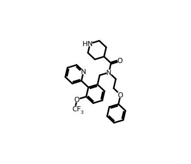 O=C(C1CCNCC1)N(CCOc1ccccc1)Cc1cccc(OC(F)(F)F)c1-c1ccccn1